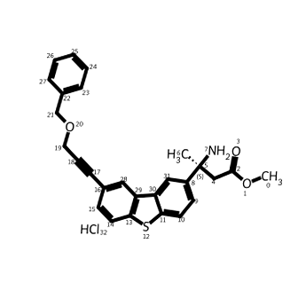 COC(=O)C[C@](C)(N)c1ccc2sc3ccc(C#CCOCc4ccccc4)cc3c2c1.Cl